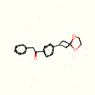 O=C(Cc1ccccc1)c1ccc(C2CC3(C2)OCCO3)cc1